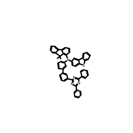 CC1(C)c2ccccc2-c2cccc(N(c3cccc(-c4cccc(-c5nc(-c6ccccc6)nc(-c6ccccc6)n5)c4)c3)c3ccc4sc5ccccc5c4c3)c21